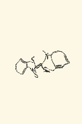 CN1C(=C2Sc3ccccc3S2)Sc2ccccc21